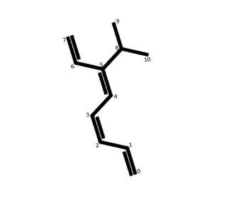 C=C/C=C\C=C(/C=C)C(C)C